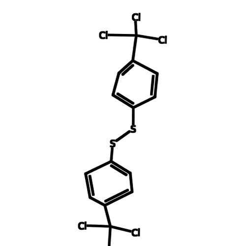 ClC(Cl)(Cl)c1ccc(SSc2ccc(C(Cl)(Cl)Cl)cc2)cc1